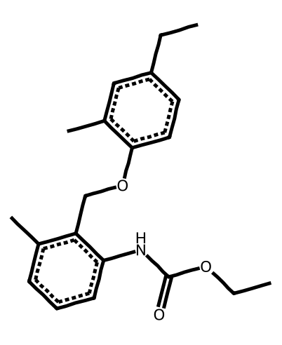 CCOC(=O)Nc1cccc(C)c1COc1ccc(CC)cc1C